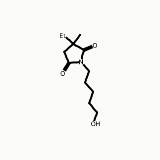 CCC1(C)CC(=O)N(CCCCCO)C1=O